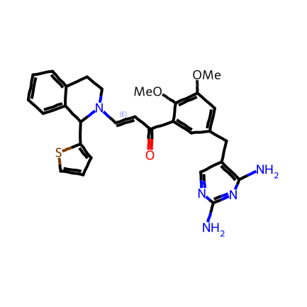 COc1cc(Cc2cnc(N)nc2N)cc(C(=O)/C=C/N2CCc3ccccc3C2c2cccs2)c1OC